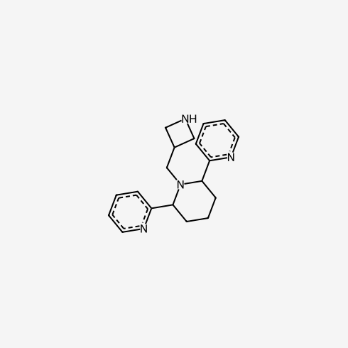 c1ccc(C2CCCC(c3ccccn3)N2CC2CNC2)nc1